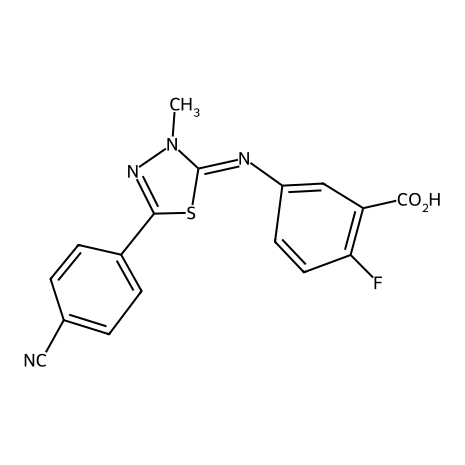 Cn1nc(-c2ccc(C#N)cc2)sc1=Nc1ccc(F)c(C(=O)O)c1